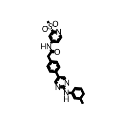 CC1C=C(Nc2ncc(-c3ccc(CC(=O)Nc4ccnc(S(C)(=O)=O)c4)cc3)cn2)C=CC1